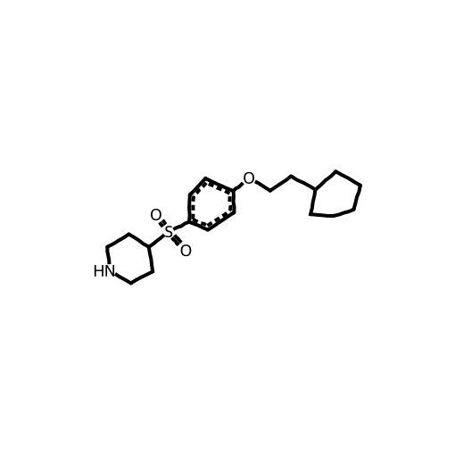 O=S(=O)(c1ccc(OCCC2CCCCC2)cc1)C1CCNCC1